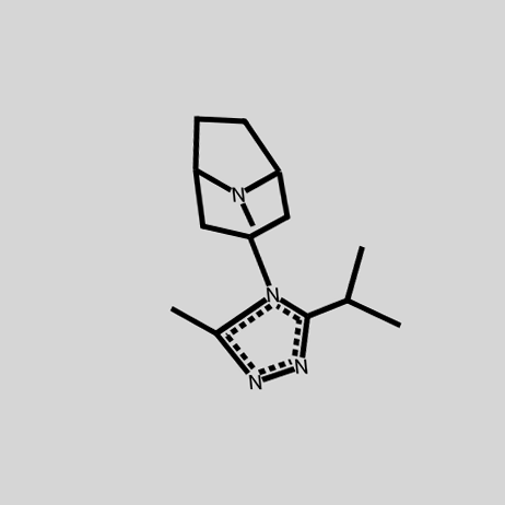 Cc1nnc(C(C)C)n1C1CC2CCC(C1)N2C